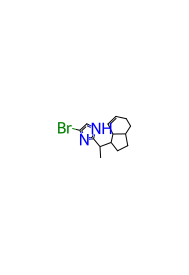 CC(c1nc(Br)c[nH]1)C1CCC2CCC=CC21